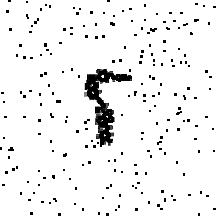 COCCN1CCC(Nc2cnc3ccc(C#CCNC(=O)c4cncn(Cc5ccc(F)c(F)c5)c4=O)cc3n2)CC1